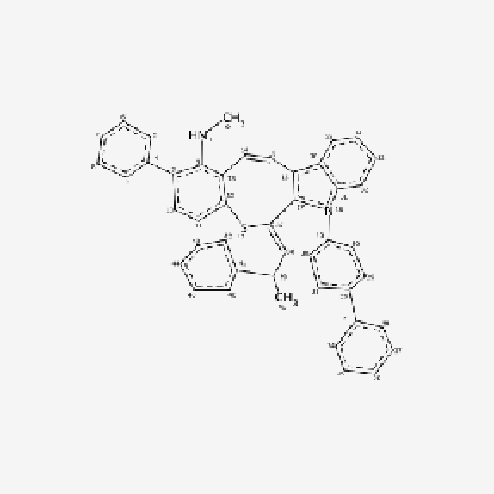 CNc1c(-c2ccccc2)ccc2c1/C=C\c1c(n(-c3ccc(-c4ccccc4)cc3)c3ccccc13)/C(=C/C(C)c1ccccc1)S2